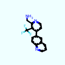 NCc1nccc(-c2ccc3ncccc3c2)c1C(F)(F)F